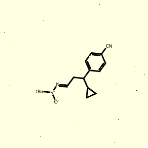 CC(C)(C)[S+]([O-])N=CCC(c1ccc(C#N)cc1)C1CC1